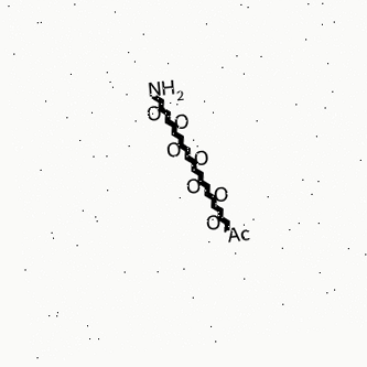 CC(=O)CCC(=O)CCC(=O)CCC(=O)CCC(=O)CCC(=O)CCC(=O)CCC(=O)CCN